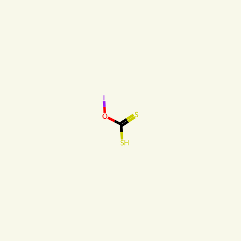 S=C(S)OI